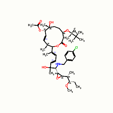 CC[C@H](OC)[C@@H](C)[C@H]1O[C@@H]1C(NCc1ccc(Cl)cc1)C(C)(O)/C=C/C=C(\C)C1OC(=O)C[C@H](O[Si](C)(C)C(C)(C)C)CC[C@@](C)(O)[C@@H](OC(C)=O)/C=C/[C@@H]1C